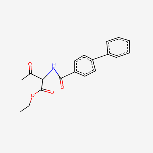 CCOC(=O)C(NC(=O)c1ccc(-c2ccccc2)cc1)C(C)=O